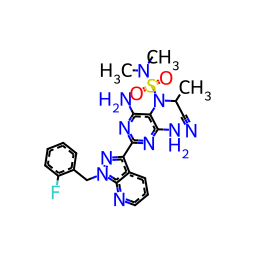 CC(C#N)N(c1c(N)nc(-c2nn(Cc3ccccc3F)c3ncccc23)nc1N)S(=O)(=O)N(C)C